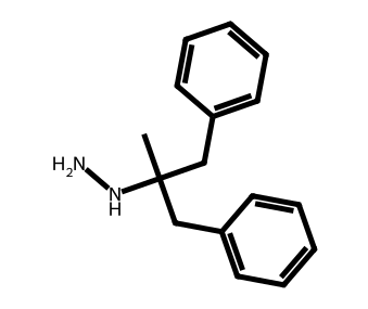 CC(Cc1ccccc1)(Cc1ccccc1)NN